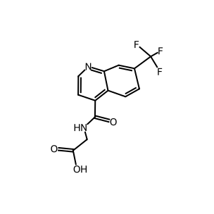 O=C(O)CNC(=O)c1ccnc2cc(C(F)(F)F)ccc12